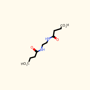 O=C(O)CCC(=O)NCCNC(=O)CCC(=O)O